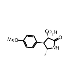 COc1ccc([C@H]2[C@H](C(=O)O)C(=O)N[C@@H]2C)cc1